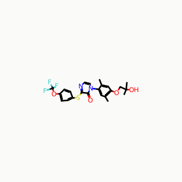 Cc1cc(-n2ccnc(Sc3ccc(OC(F)(F)F)cc3)c2=O)c(C)cc1OCC(C)(C)O